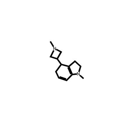 CN1CC(C2CC=CC3=C2CCN3C)C1